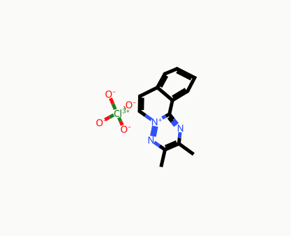 Cc1nc2c3ccccc3cc[n+]2nc1C.[O-][Cl+3]([O-])([O-])[O-]